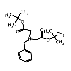 CC(C)(C)OC(=O)CN(CC(=O)OC(C)(C)C)Cc1ccccc1